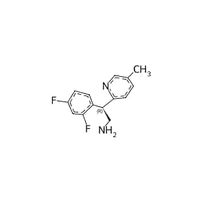 Cc1ccc([C@@H](CN)c2ccc(F)cc2F)nc1